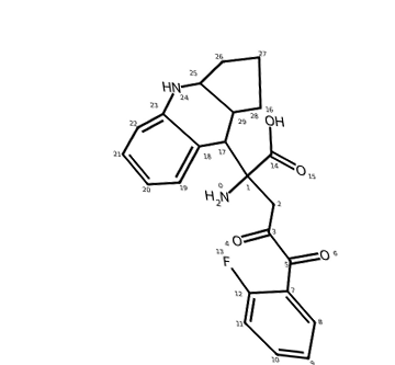 NC(CC(=O)C(=O)c1ccccc1F)(C(=O)O)C1c2ccccc2NC2CCCC21